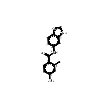 Cc1cc(C(C)(C)C)ccc1C(=O)Nc1ccc2scnc2c1